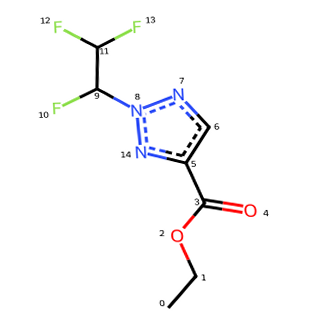 CCOC(=O)c1cnn(C(F)C(F)F)n1